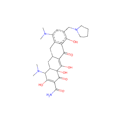 CN(C)c1cc(CN2CCCC2)c(O)c2c1CC1CC3C(N(C)C)C(O)=C(C(N)=O)C(=O)C3(O)C(O)=C1C2=O